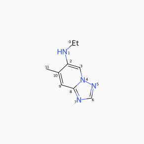 CCNc1cn2ncnc2cc1C